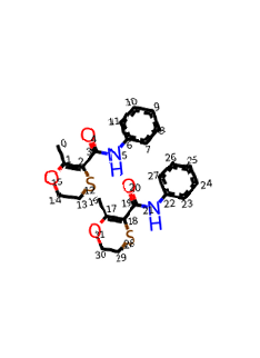 CC1=C(C(=O)Nc2ccccc2)SCCO1.CC1=C(C(=O)Nc2ccccc2)SCCO1